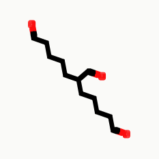 O=CCCCCC(C=O)CCCCC=O